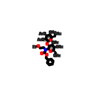 CCOCCN(C(=O)OCc1ccccc1)C1O[C@@H](COC(C)=O)[C@@H](OC(C)=O)[C@H](OC(C)=O)[C@@H]1O[C@H]1O[C@H](COC(C)=O)[C@@H](OC(C)=O)[C@H](OC(C)=O)[C@@H]1OC(C)=O